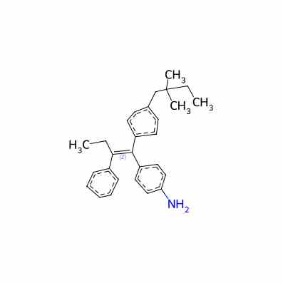 CC/C(=C(/c1ccc(N)cc1)c1ccc(CC(C)(C)CC)cc1)c1ccccc1